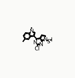 Cc1ccc2c(c1)c(-c1nc(Cl)nc3c1ccn3SI)cn2C